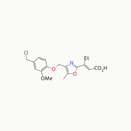 CC/C(=C\C(=O)O)c1nc(COc2ccc(CCl)cc2OC)c(C)o1